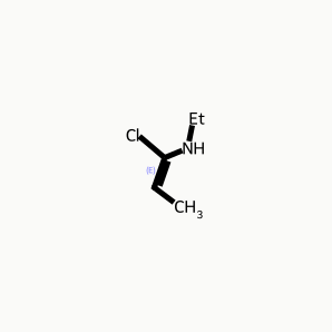 C/C=C(/Cl)NCC